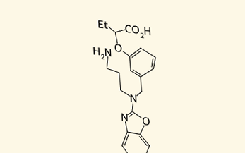 CCC(Oc1cccc(CN(CCCN)c2nc3ccccc3o2)c1)C(=O)O